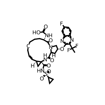 CC(F)(F)c1nc2ccc(F)cc2nc1O[C@@H]1C[C@H]2C(=O)N[C@]3(C(=O)NS(=O)(=O)C4CC4)C[C@H]3/C=C\CCCCC[C@H](NC(=O)O)C(=O)N2C1